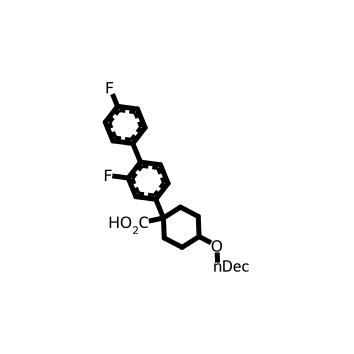 CCCCCCCCCCOC1CCC(C(=O)O)(c2ccc(-c3ccc(F)cc3)c(F)c2)CC1